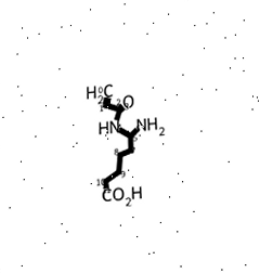 C=CC(=O)NC(N)CCCCC(=O)O